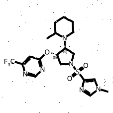 CC1CCCCN1[C@H]1CN(S(=O)(=O)c2cn(C)cn2)C[C@@H]1Oc1cc(C(F)(F)F)ncn1